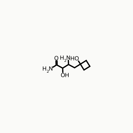 NC(=O)C(O)C(N)CC1(O)CCC1